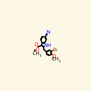 CCOC(=O)c1c(Cc2ccc(OC)c(Br)c2)[nH]c2cc(C#N)ccc12